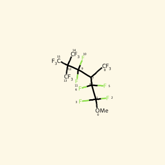 COC(F)(F)C(F)(F)C(C(F)(F)F)C(F)(F)C(C(F)(F)F)(C(F)(F)F)C(F)(F)F